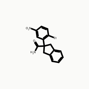 CCc1ccc([N+](=O)[O-])cc1C1(C(N)=O)Cc2ccccc2C1